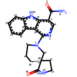 NC(=O)c1cnc(N2CCC[C@@]3(CCNC3=O)C2)c2c1[nH]c1ccccc12